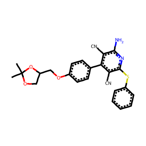 [C-]#[N+]c1c(N)nc(Sc2ccccc2)c(C#N)c1-c1ccc(OCC2COC(C)(C)O2)cc1